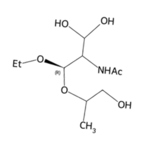 CCO[C@H](OC(C)CO)C(NC(C)=O)C(O)O